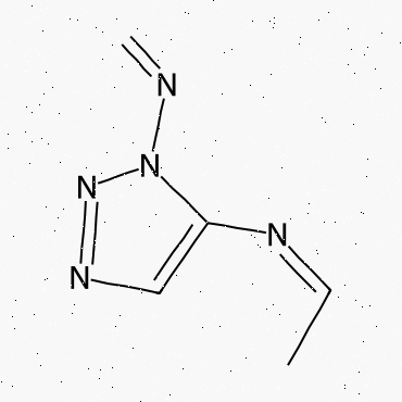 C=Nn1nncc1/N=C\C